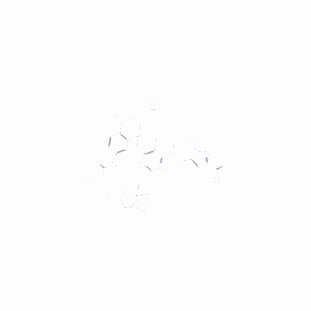 CC(C)(C)[O-].C[C@H]1CC[C@@]2(Cc3nc(OC[C@@]45CCCN4C[C@H](F)C5)nc(N4CCCn5nc(C(=O)N(C)C)cc5C4)c3CO2)c2cc(NC(=O)OC(C)(C)C)ccc21.[Na+]